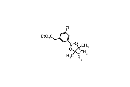 CCOC(=O)Cc1cc(Cl)cc(B2OC(C)(C)C(C)(C)O2)c1